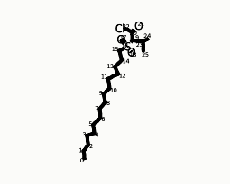 CCCCCCCCCCCCCCCCS(=O)(=O)C(C(=O)Cl)C(C)C